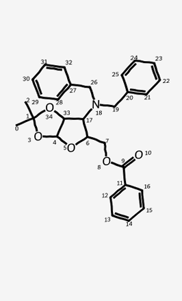 CC1(C)OC2OC(COC(=O)c3ccccc3)C(N(Cc3ccccc3)Cc3ccccc3)C2O1